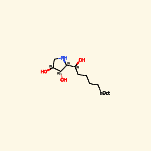 CCCCCCCCCCCC[C@H](O)[C@@H]1NC[C@H](O)[C@H]1O